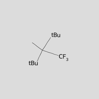 CC(C)(C)C(C)(C(C)(C)C)C(F)(F)F